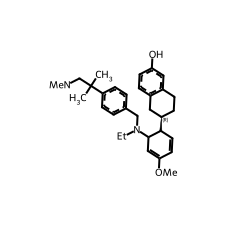 CCN(Cc1ccc(C(C)(C)CNC)cc1)C1C=C(OC)C=CC1[C@@H]1CCc2cc(O)ccc2C1